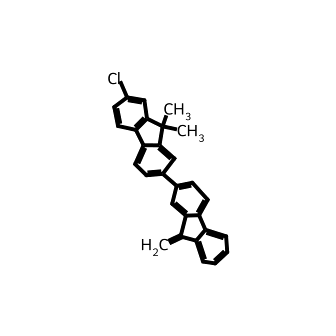 C=C1c2ccccc2-c2ccc(-c3ccc4c(c3)C(C)(C)c3cc(Cl)ccc3-4)cc21